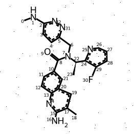 CNc1ccc(CN(C(=O)c2ccc3nc(N)c(C)cc3c2)[C@H](C)c2ncccc2F)nn1